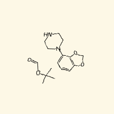 CC(C)(C)OC=O.c1cc2c(c(N3CCNCC3)c1)OCO2